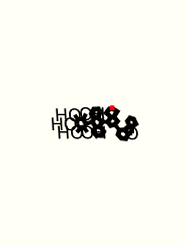 OC1=C(O)C(O)C(O)C(O)=C1c1c2ccccc2c(-c2cc(-c3cccc4oc5ccccc5c34)cc3ccccc23)c2ccccc12